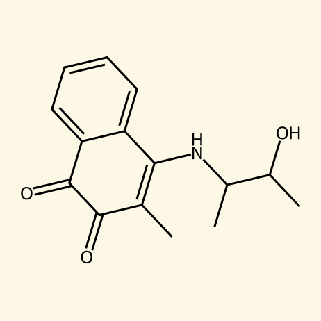 CC1=C(NC(C)C(C)O)c2ccccc2C(=O)C1=O